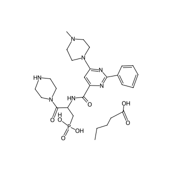 CCCCC(=O)O.CN1CCN(c2cc(C(=O)NC(CP(=O)(O)O)C(=O)N3CCNCC3)nc(-c3ccccc3)n2)CC1